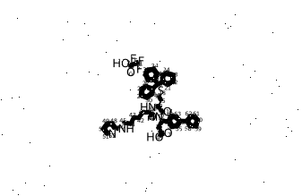 O=C(O)C(F)(F)F.O=C(O)CC(NC(=O)[C@H](CCSC(c1ccccc1)(c1ccccc1)c1ccccc1)NC(=O)CCCCCNc1ccccn1)c1ccc(-c2ccccc2)cc1